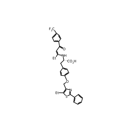 CC/C(=C/C(=O)c1ccc(C(F)(F)F)cc1)N[C@@H](Cc1ccc(OCc2nc(-c3ccccc3)sc2CC)cc1)C(=O)O